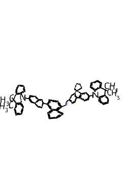 CC1(C)c2ccccc2N(c2ccc3c(c2)C2(CCCC2)c2cc(/C=C/c4ccc(-c5ccc6cc(N7c8ccccc8C(C)(C)c8ccccc87)ccc6c5)c5ccccc45)ccc2-3)c2ccccc21